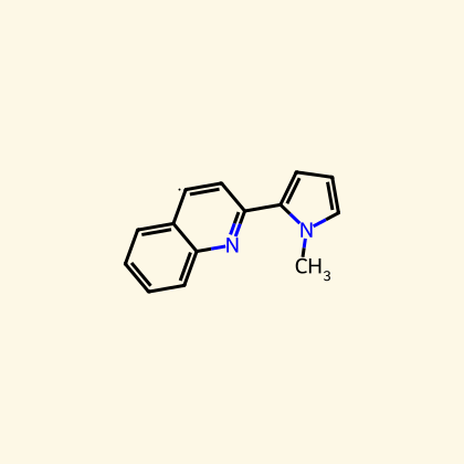 Cn1cccc1-c1c[c]c2ccccc2n1